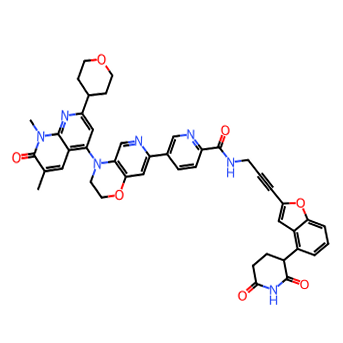 Cc1cc2c(N3CCOc4cc(-c5ccc(C(=O)NCC#Cc6cc7c(C8CCC(=O)NC8=O)cccc7o6)nc5)ncc43)cc(C3CCOCC3)nc2n(C)c1=O